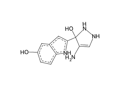 NC1=CNNC1(O)c1cc2cc(O)ccc2[nH]1